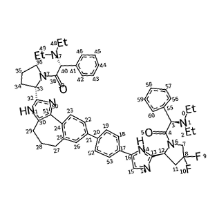 CCN(CC)[C@@H](C(=O)N1CC(F)(F)C[C@H]1c1ncc(-c2ccc(-c3ccc4c(c3)CCCc3[nH]c([C@@H]5CCCN5C(=O)[C@@H](c5ccccc5)N(CC)CC)nc3-4)cc2)[nH]1)c1ccccc1